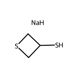 SC1CSC1.[NaH]